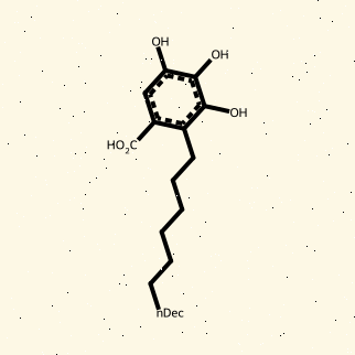 CCCCCCCCCCCCCCCCc1c(C(=O)O)cc(O)c(O)c1O